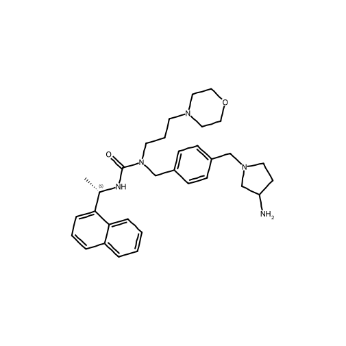 C[C@H](NC(=O)N(CCCN1CCOCC1)Cc1ccc(CN2CCC(N)C2)cc1)c1cccc2ccccc12